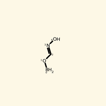 BOC=NO